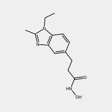 CCn1c(C)nc2cc(CCC(=O)NO)ccc21